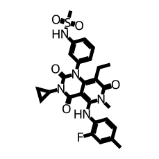 CCc1c(=O)n(C)c(Nc2ccc(C)cc2F)c2c(=O)n(C3CC3)c(=O)n(-c3cccc(NS(C)(=O)=O)c3)c12